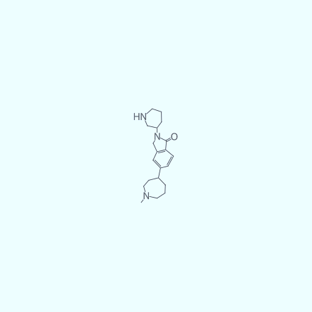 CN1CCCC(c2ccc3c(c2)CN(C2CCCNC2)C3=O)CC1